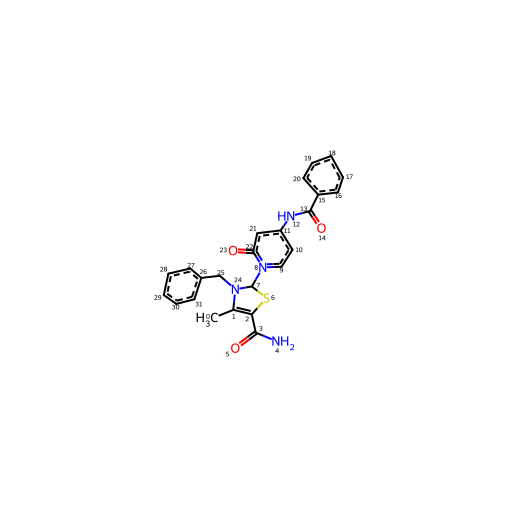 CC1=C(C(N)=O)SC(n2ccc(NC(=O)c3ccccc3)cc2=O)N1Cc1ccccc1